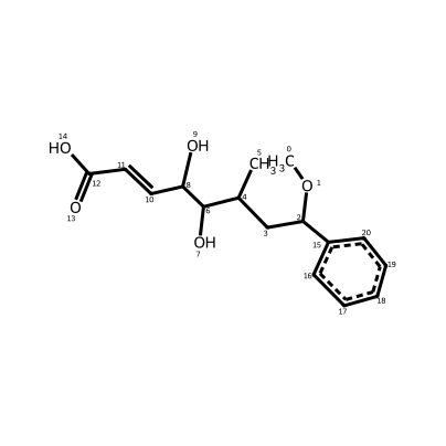 COC(CC(C)C(O)C(O)C=CC(=O)O)c1ccccc1